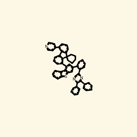 c1ccc(-c2ncc(-c3ccccc3-c3cc(-c4cccc5c4C4(CCCCC4)c4cccc(-c6ccncc6)c4-5)c4c(c3)sc3ccccc34)nc2-c2ccccc2)cc1